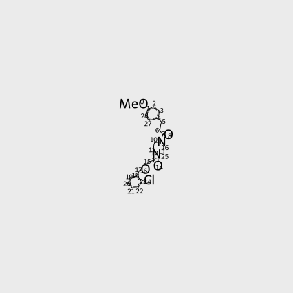 COc1ccc(CCC(=O)N2CCN(C(=O)COCc3ccccc3Cl)CC2)cc1